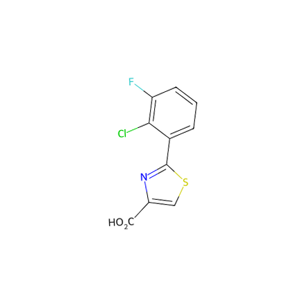 O=C(O)c1csc(-c2cccc(F)c2Cl)n1